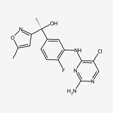 Cc1cc([C@@](C)(O)c2ccc(F)c(Nc3nc(N)ncc3Cl)c2)no1